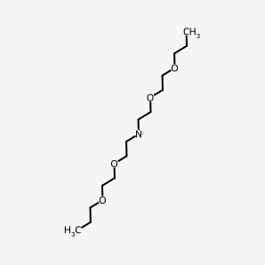 CCCOCCOCC[N]CCOCCOCCC